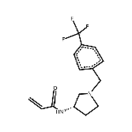 C=CC(=O)N[C@H]1CCN(Cc2ccc(C(F)(F)F)cc2)C1